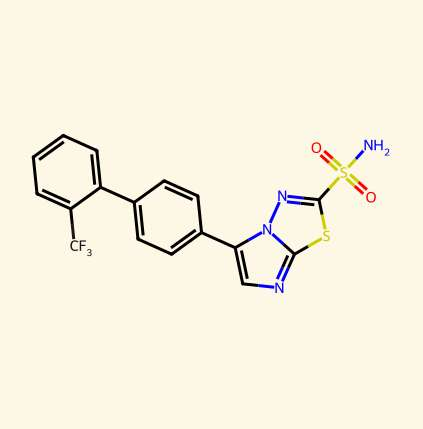 NS(=O)(=O)c1nn2c(-c3ccc(-c4ccccc4C(F)(F)F)cc3)cnc2s1